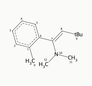 Cc1ccccc1/C(=C/C(C)(C)C)N(C)C